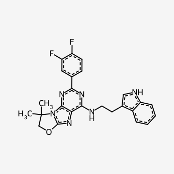 CC1(C)COc2nc3c(NCCc4c[nH]c5ccccc45)nc(-c4ccc(F)c(F)c4)nc3n21